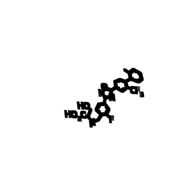 Cc1ccccc1-c1ccc(-c2nc(-c3ccc(CN(C)C(CO)C(=O)O)c(F)c3)no2)cc1C(F)(F)F